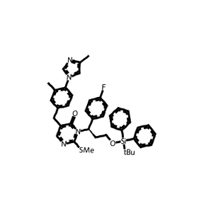 CSc1ncc(Cc2ccc(-n3cnc(C)c3)c(C)c2)c(=O)n1[C@H](CCO[Si](c1ccccc1)(c1ccccc1)C(C)(C)C)c1ccc(F)cc1